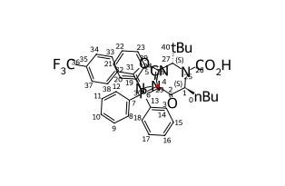 CCCC[C@@H](C(=O)C(C#N)=P(c1ccccc1)(c1ccccc1)c1ccccc1)N(C(=O)O)[C@H](c1nnc(-c2ccc(C(F)(F)F)cc2)o1)C(C)(C)C